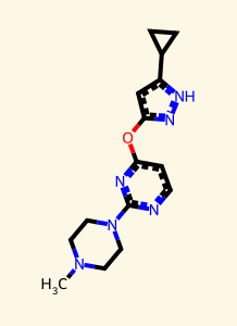 CN1CCN(c2nccc(Oc3cc(C4CC4)[nH]n3)n2)CC1